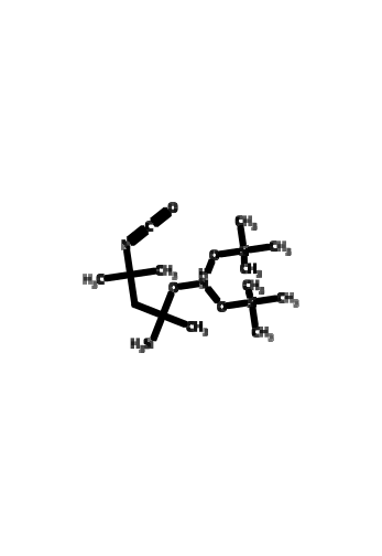 CC(C)(CC(C)([SiH3])O[SiH](O[Si](C)(C)C)O[Si](C)(C)C)N=C=O